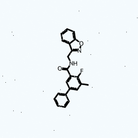 Cc1cc(-c2ccccc2)cc(C(=O)NCc2noc3ccccc23)c1F